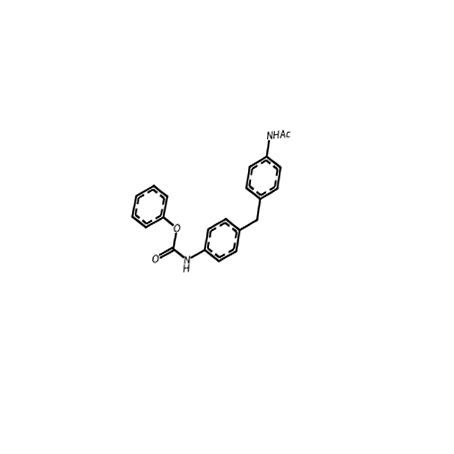 CC(=O)Nc1ccc(Cc2ccc(NC(=O)Oc3ccccc3)cc2)cc1